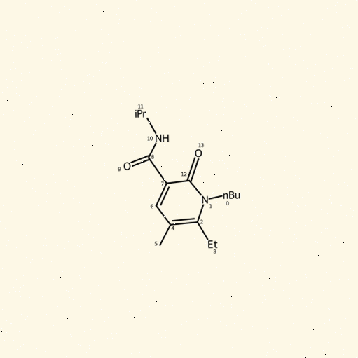 CCCCn1c(CC)c(C)cc(C(=O)NC(C)C)c1=O